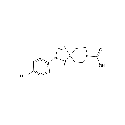 Cc1ccc(N2C=NC3(CCN(C(=O)O)CC3)C2=O)cc1